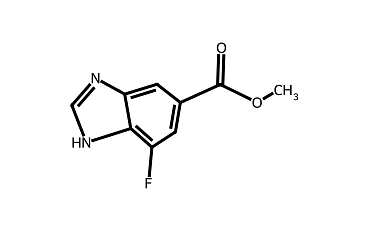 COC(=O)c1cc(F)c2[nH]cnc2c1